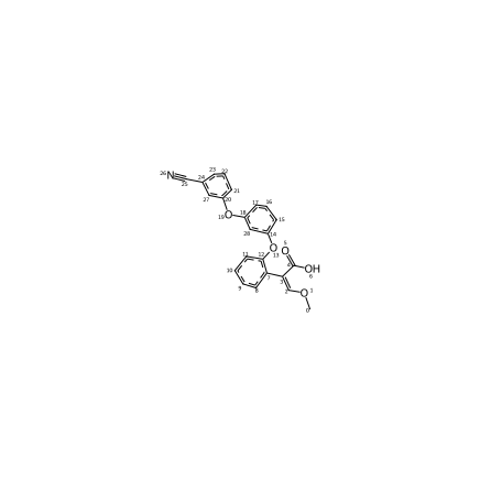 COC=C(C(=O)O)c1ccccc1Oc1cccc(Oc2cccc(C#N)c2)c1